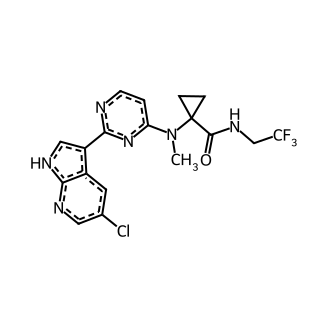 CN(c1ccnc(-c2c[nH]c3ncc(Cl)cc23)n1)C1(C(=O)NCC(F)(F)F)CC1